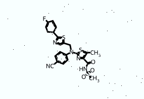 Cc1sc(N(Cc2cnc(C3C=CC(F)=CC3)s2)c2ccc(C#N)cc2)nc1C(=O)NS(C)(=O)=O